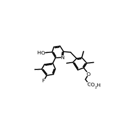 Cc1cc(-c2nc(Cc3c(C)cc(OCC(=O)O)c(C)c3C)ccc2O)ccc1F